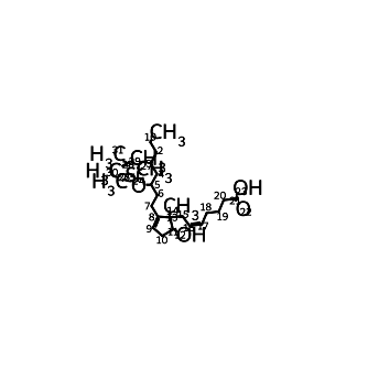 CCCCCC(CCC1=CC[C@H](O)[C@]1(C)C/C=C\CCCC(=O)O)O[Si](C)(C)C(C)(C)C